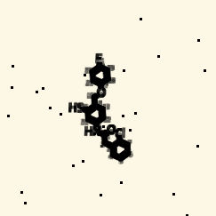 O=C(Cc1ccccc1Cl)Nc1ccc(COc2ccc(F)cc2)c(S)c1